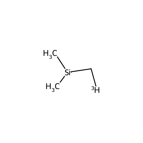 [3H]C[Si](C)C